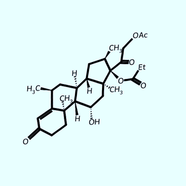 CCC(=O)O[C@]1(C(=O)COC(C)=O)[C@H](C)C[C@H]2[C@@H]3C[C@H](C)C4=CC(=O)CC[C@]4(C)[C@H]3[C@@H](O)C[C@@]21C